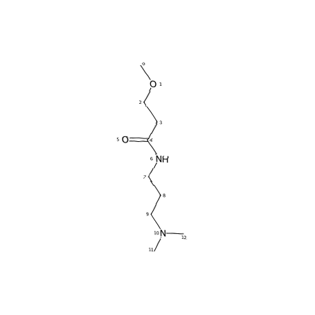 COCCC(=O)NCCCN(C)C